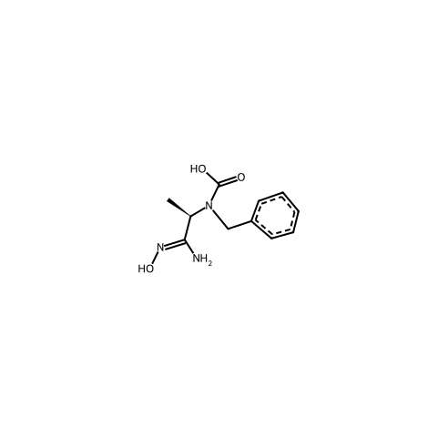 C[C@H](/C(N)=N/O)N(Cc1ccccc1)C(=O)O